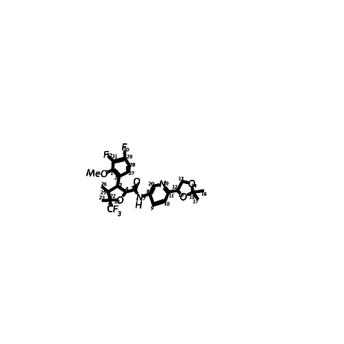 COc1c(C2C(C(=O)Nc3ccc(C4COC(C)(C)O4)nc3)OC(C)(C(F)(F)F)C2C)ccc(F)c1F